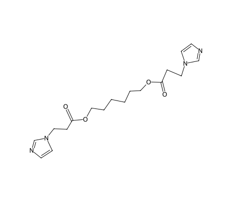 O=C(CCn1ccnc1)OCCCCCCOC(=O)CCn1ccnc1